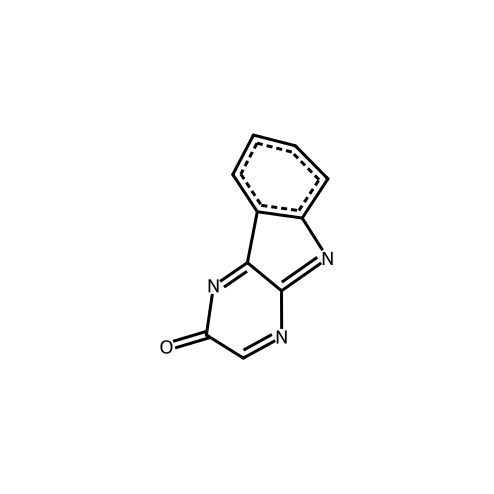 O=C1C=NC2=Nc3ccccc3C2=N1